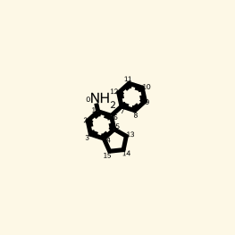 Nc1ccc2c(c1-c1ccccc1)CCC2